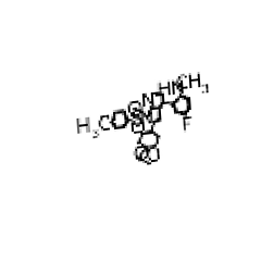 CNc1ccc(F)cc1-c1ccnc2c1cc(C1=CCC3(CC1)OCCO3)n2S(=O)(=O)c1ccc(C)cc1